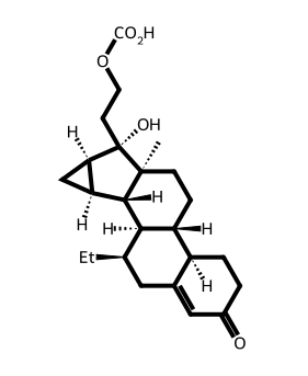 CC[C@@H]1CC2=CC(=O)CC[C@@H]2[C@H]2CC[C@@]3(C)[C@@H]([C@H]4C[C@H]4[C@@]3(O)CCOC(=O)O)[C@H]12